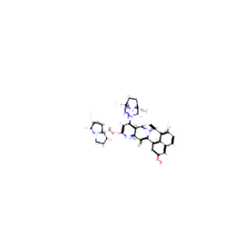 C#Cc1c(F)ccc2cc(O)cc(-c3ncc4c(N5C[C@H]6CC[C@@H](C5)N6)cc(OC[C@@]56CCCN5C[C@H](F)C6)nc4c3F)c12